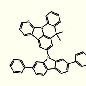 CC1(C)c2ccccc2-n2c3ncccc3c3cc(-n4c5cc(-c6ccccc6)ccc5c5ccc(-c6ccccc6)cc54)cc1c32